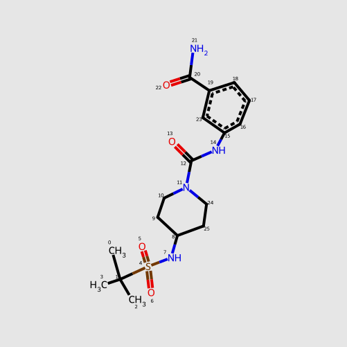 CC(C)(C)S(=O)(=O)NC1CCN(C(=O)Nc2cccc(C(N)=O)c2)CC1